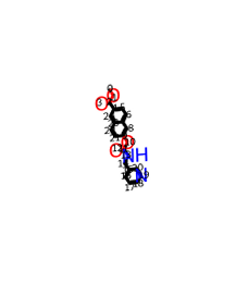 COC(=O)c1ccc2cc(OC(=O)NCc3cccnc3)ccc2c1